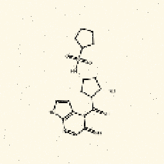 CC[C@H]1C[C@@H](NS(=O)(=O)C2CCCC2)C[C@@H]1C(=N)n1c(=N)cnc2[nH]ccc21